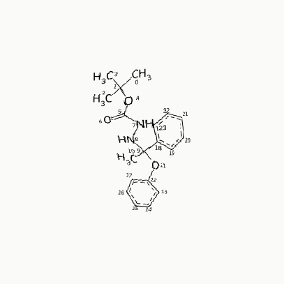 CC(C)(C)OC(=O)NNC(C)(Oc1ccccc1)c1ccccc1